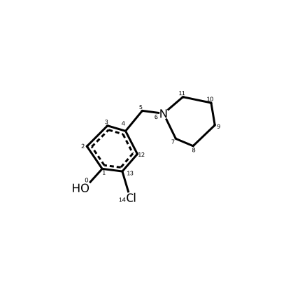 Oc1ccc(CN2CCCCC2)cc1Cl